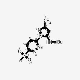 CCC(C)Nc1cc(C(F)(F)F)nn1-c1ccc(S(C)(=O)=O)nn1